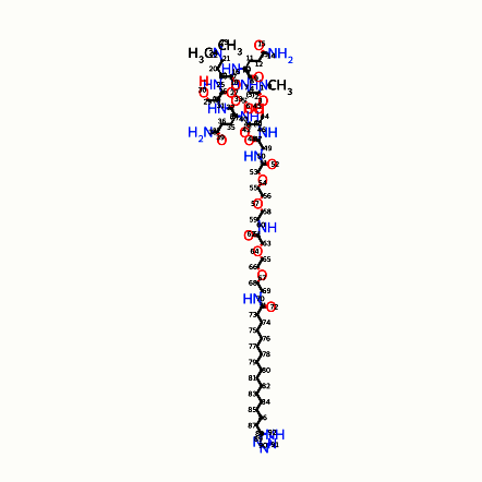 CNC(=O)[C@H](CO)NC(=O)[C@H](CCC(N)=O)NC(=O)[C@H](CCN(C)C)NC(=O)[C@H](CO)NC(=O)[C@H](CCC(N)=O)NC(=O)[C@@H](CO)NC(=O)CNC(=O)COCCOCCNC(=O)COCCOCCNC(=O)CCCCCCCCCCCCCCCc1nnn[nH]1